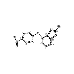 O=[N+]([O-])c1ccc(Oc2ccnc3cc(Br)sc23)cc1